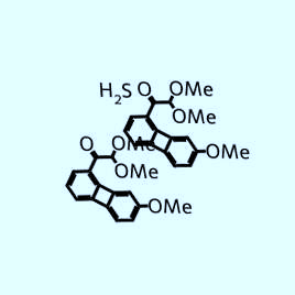 COc1ccc2c(c1)-c1c(C(=O)C(OC)OC)cccc1-2.COc1ccc2c(c1)-c1c(C(=O)C(OC)OC)cccc1-2.S